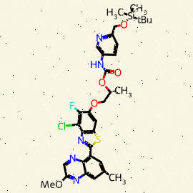 COc1cnc2c(-c3nc4c(Cl)c(F)c(OC[C@@H](C)OC(=O)Nc5ccc(CO[Si](C)(C)C(C)(C)C)nc5)cc4s3)cc(C)cc2n1